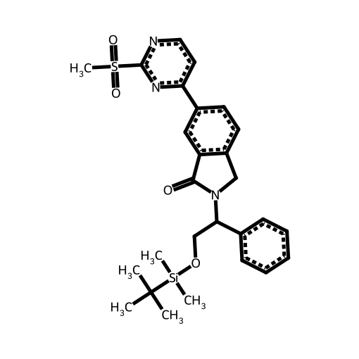 CC(C)(C)[Si](C)(C)OCC(c1ccccc1)N1Cc2ccc(-c3ccnc(S(C)(=O)=O)n3)cc2C1=O